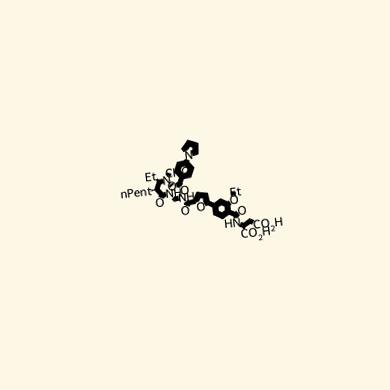 CCCCC[C@@H](C(=O)NCNC(=O)c1ccc(-c2ccc(C(=O)N[C@@H](CC(=O)O)C(=O)O)c(OCC)c2)o1)[C@@H](CC)N(C=O)OC(=O)c1ccc(-n2cccc2)cc1